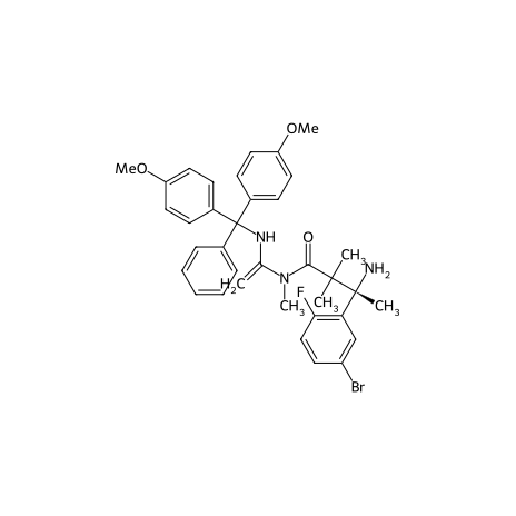 C=C(NC(c1ccccc1)(c1ccc(OC)cc1)c1ccc(OC)cc1)N(C)C(=O)C(C)(C)[C@](C)(N)c1cc(Br)ccc1F